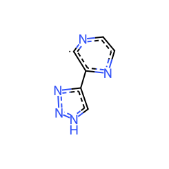 [c]1nccnc1-c1c[nH]nn1